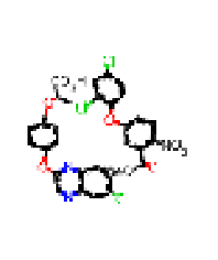 CC(Oc1ccc(Oc2cnc3cc(Cl)ccc3n2)cc1)C(=O)O.COC(=O)c1cc(Oc2ccc(Cl)cc2Cl)ccc1[N+](=O)[O-]